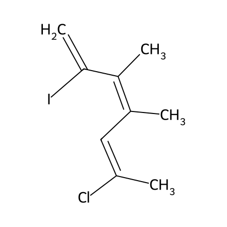 C=C(I)/C(C)=C(C)\C=C(/C)Cl